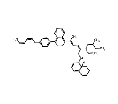 CCC(C)CC(CC)/C(=C/C=C(\C)C1=c2ccccc2=C(c2ccc(C/C=C\C=C/N)cc2)CC1)CNC1C=CC=C2CCCC[C@H]21